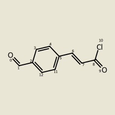 O=Cc1ccc(/C=C/C(=O)Cl)cc1